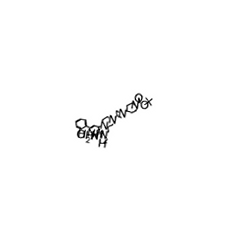 CC(C)(C)OC(=O)N1CCC(N2CC(N3CCN4C(/C=C(\N)c5ccccc5O)=C(N)NCC4C3)C2)CC1